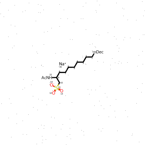 CCCCCCCCCCCCCCCCCCC(CS(=O)(=O)[O-])NC(C)=O.[Na+]